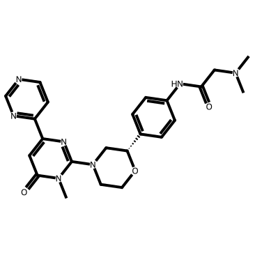 CN(C)CC(=O)Nc1ccc([C@H]2CN(c3nc(-c4ccncn4)cc(=O)n3C)CCO2)cc1